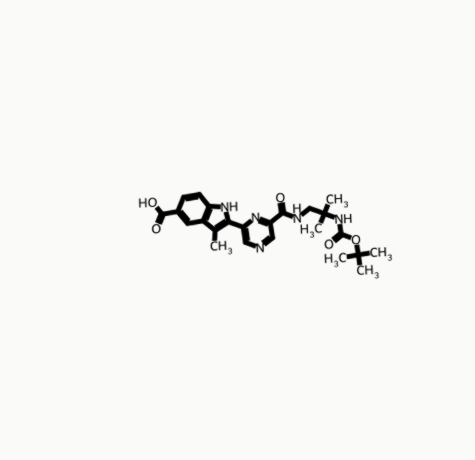 Cc1c(-c2cncc(C(=O)NCC(C)(C)NC(=O)OC(C)(C)C)n2)[nH]c2ccc(C(=O)O)cc12